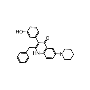 O=c1c(-c2cccc(O)c2)c(Cc2ccccc2)[nH]c2ccc(N3CCCCC3)cc12